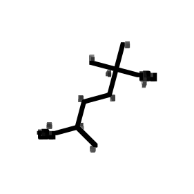 CC(CCC(C)(C)C(C)(C)C)C(C)(C)C